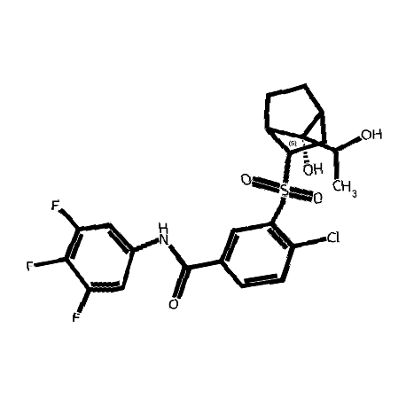 CC(O)[C@]1(O)C2CCC1C(S(=O)(=O)c1cc(C(=O)Nc3cc(F)c(F)c(F)c3)ccc1Cl)C2